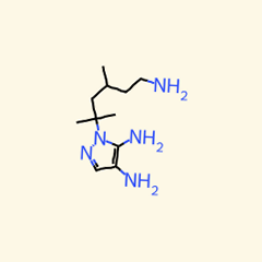 CC(CCN)CC(C)(C)n1ncc(N)c1N